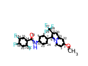 COc1ccn2c(-c3ccc(NC(=O)c4cc(F)c(F)cc4F)cc3)c(C(F)(F)F)cc2c1